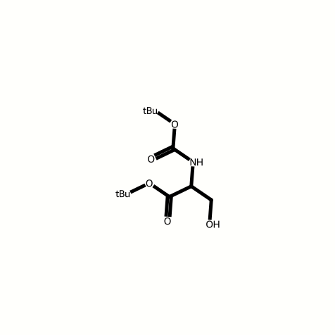 CC(C)(C)OC(=O)NC(CO)C(=O)OC(C)(C)C